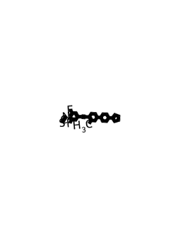 CC1=C(C#Cc2cc(F)c(N=C=S)c(F)c2)CCC(C2CCC(C3=CCCC3)CC2)C1